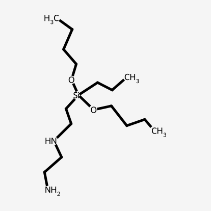 CCCCO[Si](CCC)(CCNCCN)OCCCC